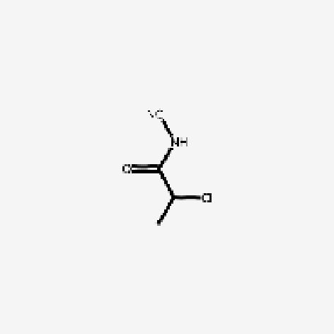 CC(Cl)C(=O)NC#N